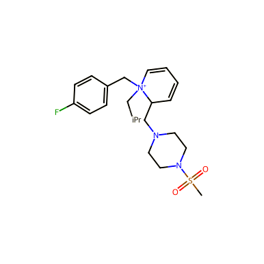 CC(C)C[N+]1(Cc2ccc(F)cc2)C=CC=CC1CN1CCN(S(C)(=O)=O)CC1